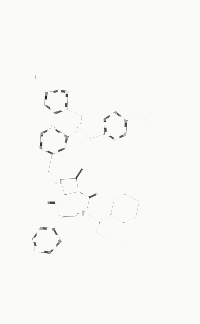 CCC(NC(=O)N1C(=O)[C@H](Cc2ccnc(N(Cc3ccc(OC)cc3)Cc3ccc(OC)cc3)c2)[C@H]1C(=O)N(C)c1ccncc1)C1CCCCC1